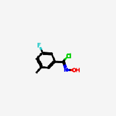 Cc1cc(F)cc(C(Cl)=NO)c1